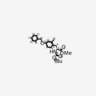 COC(=O)[C@H](Cc1ccc(OCc2ccccc2)cc1C)NC(=O)OC(C)(C)C